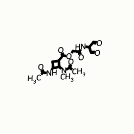 CC(=O)NC1CC(C(=O)OCC(=O)NC(C=O)C=O)C1N(C)C(C)=O